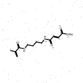 C=C(C)C(=O)NCCCCNC(=O)/C=C/C(=O)OC